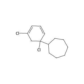 ClC1=CC=CC(Cl)(C2CCCCCC2)[CH]1